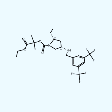 CCOC(=O)C(C)(C)OC(=O)N1C[C@@H](NCc2cc(C(F)(F)F)cc(C(F)(F)F)c2)C[C@H]1CC